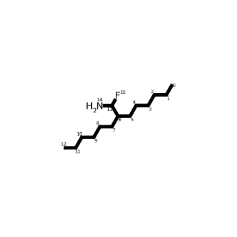 CCCCCCC(CCCCCC)C(N)F